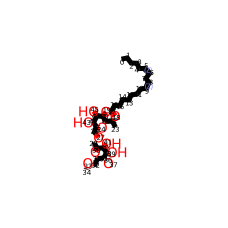 CCCCC/C=C\C/C=C\CCCCCCCC(=O)OC1C(CC)OC(COCC2OC(COC)C(OC)C(O)C2O)C(O)C1O